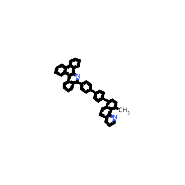 Cc1ccc(-c2ccc(-c3ccc(-c4nc5c6ccccc6c6ccccc6c5c5ccccc45)cc3)cc2)c2ccc3cccnc3c12